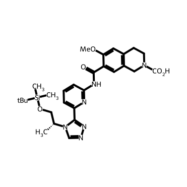 COc1cc2c(cc1C(=O)Nc1cccc(-c3nncn3[C@H](C)CO[Si](C)(C)C(C)(C)C)n1)CN(C(=O)O)CC2